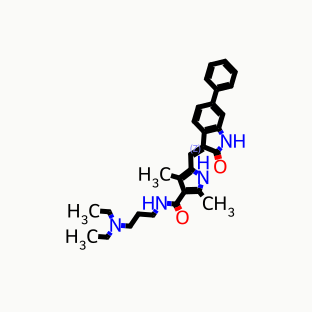 CCN(CC)CCCNC(=O)c1c(C)[nH]c(/C=C2\C(=O)Nc3cc(-c4ccccc4)ccc32)c1C